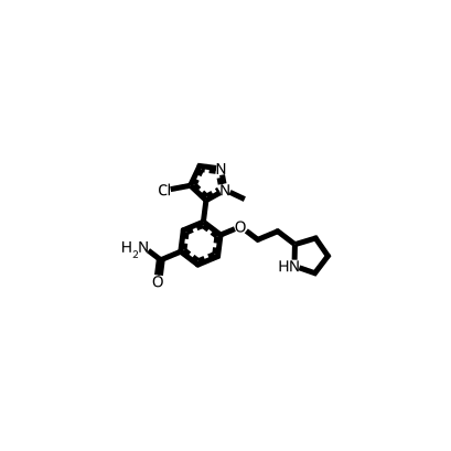 Cn1ncc(Cl)c1-c1cc(C(N)=O)ccc1OCCC1CCCN1